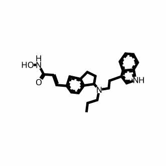 CCCN(CCc1c[nH]c2ccccc12)C1CCc2cc(C=CC(=O)NO)ccc21